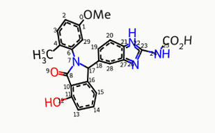 COc1ccc(C)c(N2C(=O)c3c(O)cccc3C2c2ccc3[nH]c(NC(=O)O)nc3c2)c1